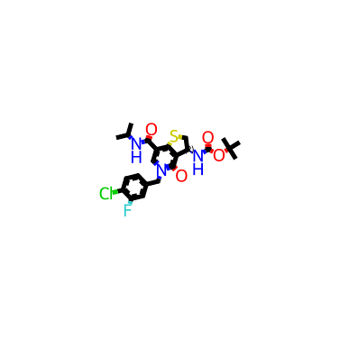 CC(C)NC(=O)c1cn(Cc2ccc(Cl)c(F)c2)c(=O)c2c1SC[C@@H]2NC(=O)OC(C)(C)C